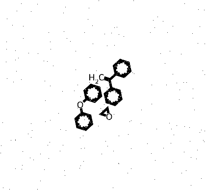 C1CO1.C=C(c1ccccc1)c1ccccc1.c1ccc(Oc2ccccc2)cc1